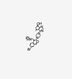 CC(C)NC[C@@H](C(=O)N1CCN(c2ncnc3c2[C@H](C)C[C@H]3O)CC1)c1ccc(Br)cc1F